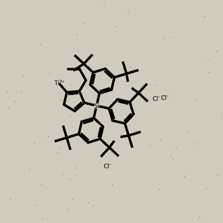 CCCC1=[C]([Ti+3])CC=C1[Si](c1cc(C(C)(C)C)cc(C(C)(C)C)c1)(c1cc(C(C)(C)C)cc(C(C)(C)C)c1)c1cc(C(C)(C)C)cc(C(C)(C)C)c1.[Cl-].[Cl-].[Cl-]